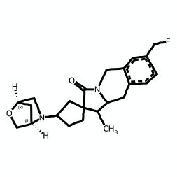 CC1C2Cc3ccc(CF)cc3CN2C(=O)C12CCC(N1C[C@H]3C[C@@H]1CO3)C2